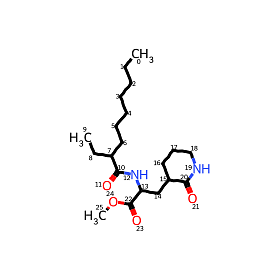 CCCCCCCC(CC)C(=O)NC(CC1CCCNC1=O)C(=O)OC